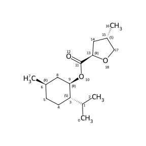 CC(C)[C@@H]1CC[C@@H](C)C[C@H]1OC(=O)[C@H]1C[C@H](C)CO1